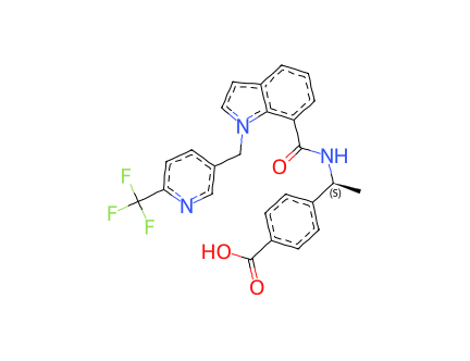 C[C@H](NC(=O)c1cccc2ccn(Cc3ccc(C(F)(F)F)nc3)c12)c1ccc(C(=O)O)cc1